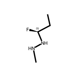 CC[C@H](F)NNC